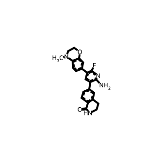 CN1CCOc2cc(-c3cc(-c4ccc5c(c4)CCNC5=O)c(N)nc3F)ccc21